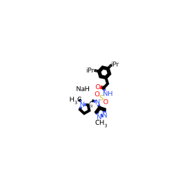 CC(C)c1cc(CC(=O)NS(=O)(=O)N(C[C@@H]2CCCN2C)c2cnn(C)c2)cc(C(C)C)c1.[NaH]